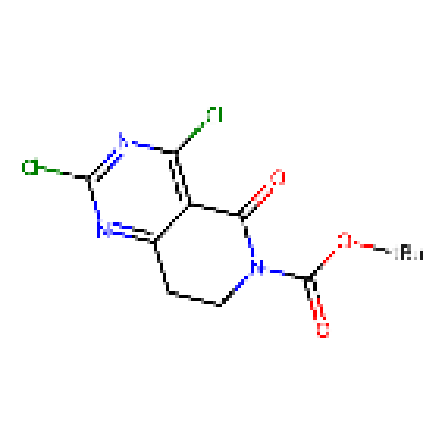 CC(C)(C)OC(=O)N1CCc2nc(Cl)nc(Cl)c2C1=O